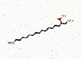 CCCCCCCCCCCCCCCCCCCCCCCCC(CC(=O)O)C(O)=S